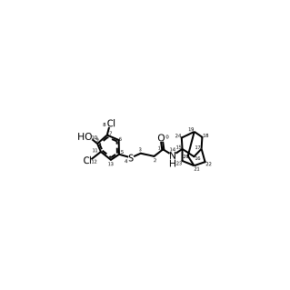 O=C(CCSc1cc(Cl)c(O)c(Cl)c1)NC12CC3CC(CC(C3)C1)C2